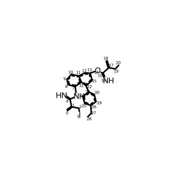 C=C(CI)C(=N)Nc1cccc2cc(OC(=N)C(=C)CC)cc(-c3ccc(CC)cc3)c12